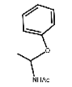 CC(=O)NC(C)Oc1ccccc1